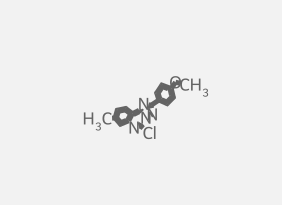 COc1ccc(-c2nc3c4ccc(C)cc4nc(Cl)n3n2)cc1